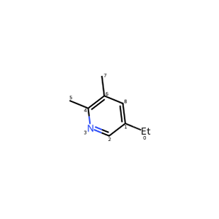 CCc1cnc(C)c(C)c1